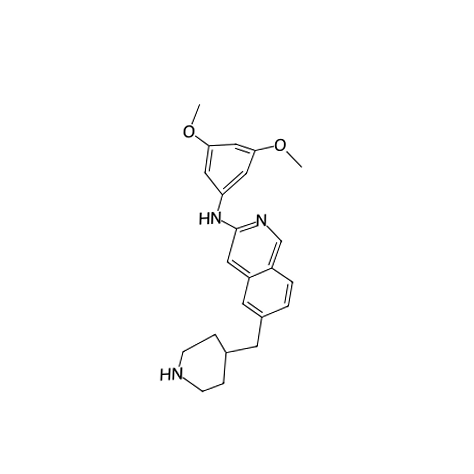 COc1cc(Nc2cc3cc(CC4CCNCC4)ccc3cn2)cc(OC)c1